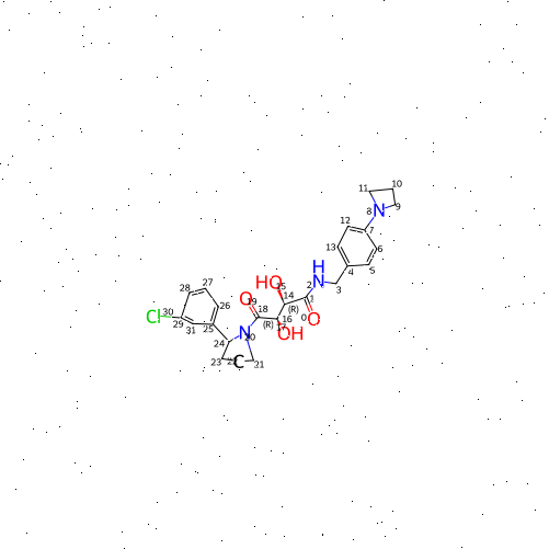 O=C(NCc1ccc(N2CCC2)cc1)[C@H](O)[C@@H](O)C(=O)N1CCCC1c1cccc(Cl)c1